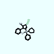 C[Si](C1=CC[C]([Ti+3])=C1c1ccccc1)(c1ccccc1)C1CCCCC1.[Cl-].[Cl-].[Cl-]